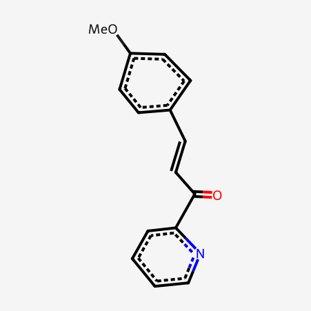 COc1ccc(/C=C/C(=O)c2ccccn2)cc1